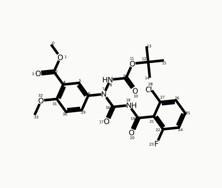 COC(=O)c1cc(N(NC(=O)OC(C)(C)C)C(=O)NC(=O)c2c(F)cccc2Cl)ccc1OC